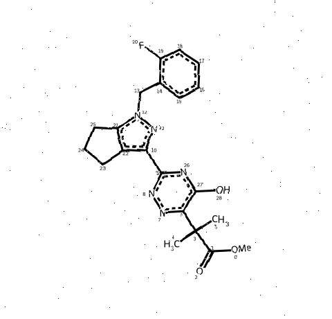 COC(=O)C(C)(C)c1nnc(-c2nn(Cc3ccccc3F)c3c2CCC3)nc1O